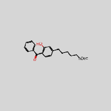 CCCCCCCCCCCCCCCc1ccc(C(=O)c2ccccc2)c(O)c1